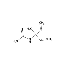 C=CC(C)(C=C)NC(N)=O